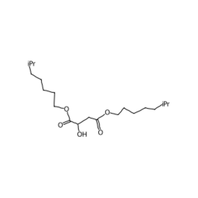 CC(C)CCCCCOC(=O)CC(O)C(=O)OCCCCCC(C)C